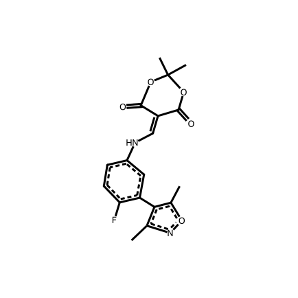 Cc1noc(C)c1-c1cc(NC=C2C(=O)OC(C)(C)OC2=O)ccc1F